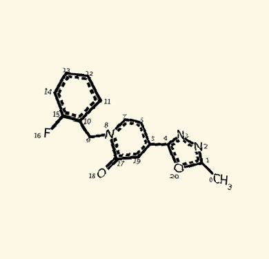 Cc1nnc(-c2ccn(Cc3ccccc3F)c(=O)c2)o1